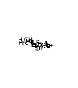 Cc1cc(OCc2ccc(F)cc2F)c(Br)c(=O)n1-c1cc(-c2ccnc(C(C)C)n2)ncc1Cl